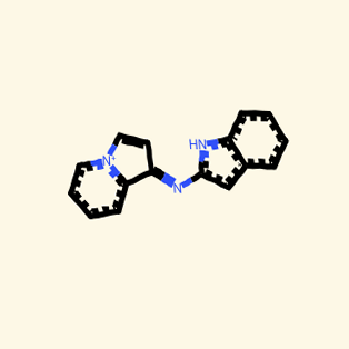 C1=C[n+]2ccccc2C1=Nc1cc2ccccc2[nH]1